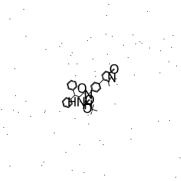 Cc1c(-c2ccc(NC(=O)[C@@H](NC(=O)OC(C)(C)C)C(c3ccccc3)c3ccccc3)cc2)ccc(=O)n1C